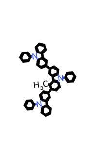 CC1c2c(n(-c3ccccc3)c3ccc(-c4ccc5c(c4)c4ccccc4n5-c4ccccc4)cc23)C=CC1c1ccc2c(c1)c1ccccc1n2-c1ccccc1